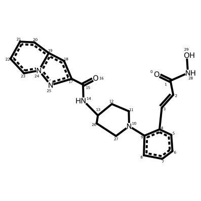 O=C(C=Cc1ccccc1N1CCC(NC(=O)c2cc3ccccn3n2)CC1)NO